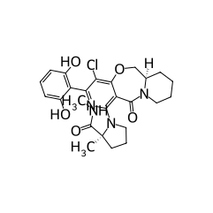 CNC(=O)[C@]1(C)CCCN1c1nc(-c2c(O)cccc2O)c(Cl)c2c1C(=O)N1CCCC[C@@H]1CO2